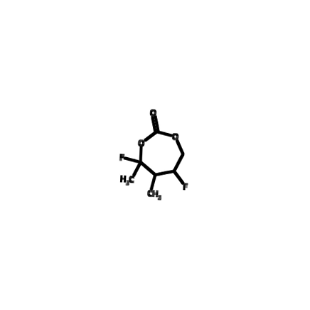 CC1C(F)COC(=O)OC1(C)F